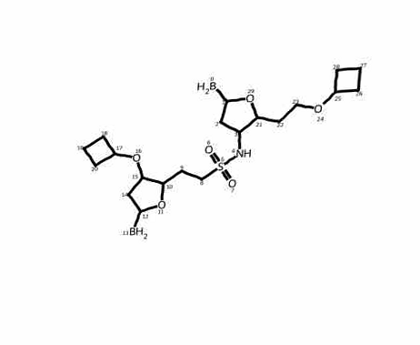 BC1CC(NS(=O)(=O)CCC2OC(B)CC2OC2CCC2)C(CCOC2CCC2)O1